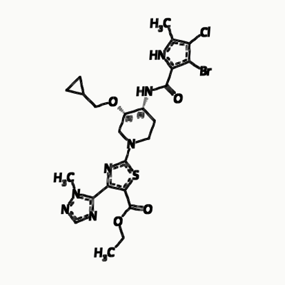 CCOC(=O)c1sc(N2CC[C@@H](NC(=O)c3[nH]c(C)c(Cl)c3Br)[C@@H](OCC3CC3)C2)nc1-c1ncnn1C